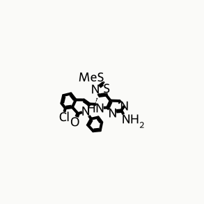 CSc1ncc(-c2cnc(N)nc2N[C@@H](C)c2cc3cccc(Cl)c3c(=O)n2-c2ccccc2)s1